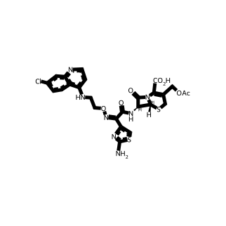 CC(=O)OCC1=C(C(=O)O)N2C(=O)[C@@H](NC(=O)C(=NOCCNc3ccnc4cc(Cl)ccc34)c3csc(N)n3)[C@H]2SC1